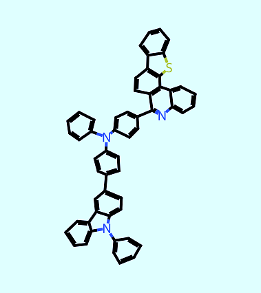 c1ccc(N(c2ccc(-c3ccc4c(c3)c3ccccc3n4-c3ccccc3)cc2)c2ccc(-c3nc4ccccc4c4c3ccc3c5ccccc5sc34)cc2)cc1